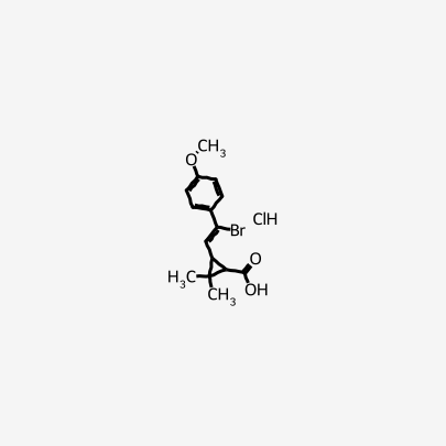 COc1ccc(C(Br)=CC2C(C(=O)O)C2(C)C)cc1.Cl